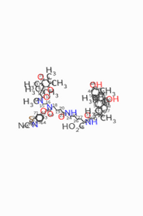 CC1=C(C)C(=O)C(C(C)(C)CC(=O)N(C)CCN(CCCC(=O)NCCCCC(NC(=O)CC[C@@H](C)[C@H]2CC[C@H]3[C@@H]4[C@H](O)C[C@]5(C)C[C@H](O)CC[C@]5(C)[C@H]4CC[C@]23C)C(=O)O)C(=O)Oc2ccc3nc(C#N)sc3c2)=C(C)C1=O